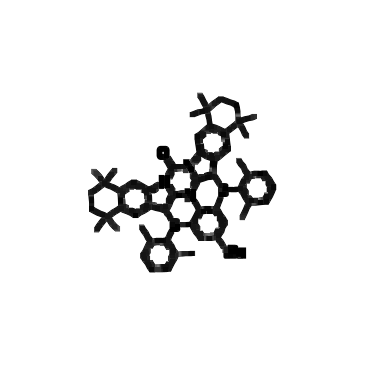 Cc1cccc(C)c1B1c2cc(C(C)(C)C)cc3c2-n2c4c1c1cc5c(cc1n4c(=O)n1c4cc6c(cc4c(c21)B3c1c(C)cccc1C)C(C)(C)CCC6(C)C)C(C)(C)CCC5(C)C